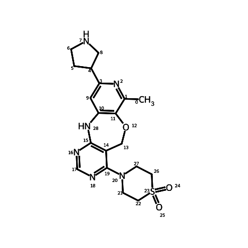 Cc1nc(C2CCNC2)cc2c1OCc1c(ncnc1N1CCS(=O)(=O)CC1)N2